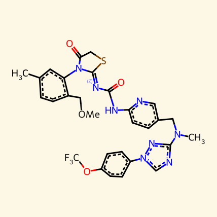 COCc1ccc(C)cc1N1C(=O)CS/C1=N\C(=O)Nc1ccc(CN(C)c2ncn(-c3ccc(OC(F)(F)F)cc3)n2)cn1